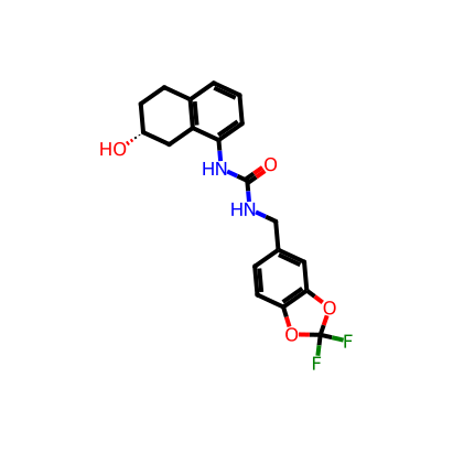 O=C(NCc1ccc2c(c1)OC(F)(F)O2)Nc1cccc2c1C[C@H](O)CC2